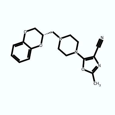 Cc1nc(C#N)c(N2CCN(C[C@H]3COc4ccccc4O3)CC2)o1